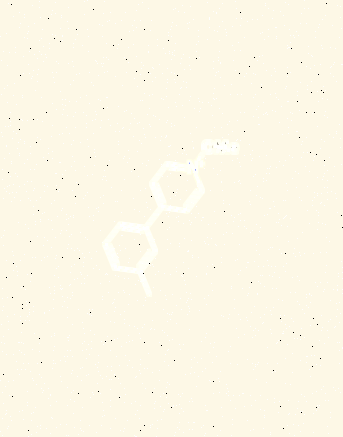 CO[n+]1ccc(-c2cccc(C)c2)cc1